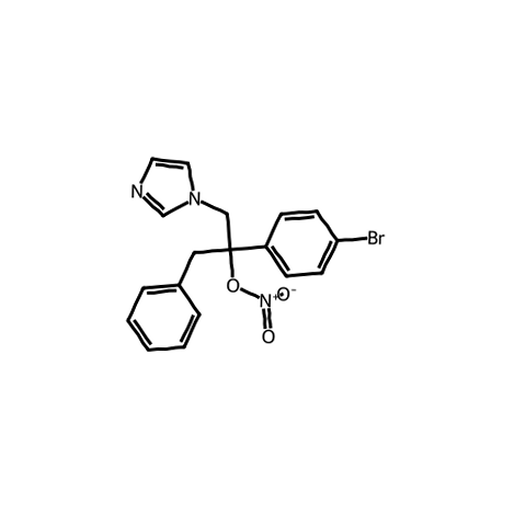 O=[N+]([O-])OC(Cc1ccccc1)(Cn1ccnc1)c1ccc(Br)cc1